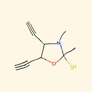 C#CC1OC(C)(S)N(C)C1C#C